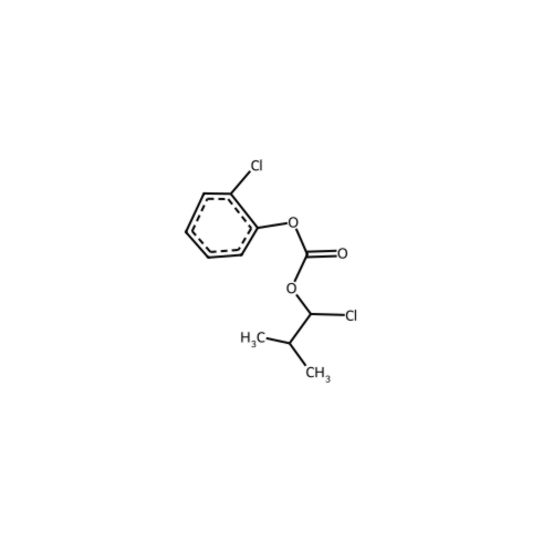 CC(C)C(Cl)OC(=O)Oc1ccccc1Cl